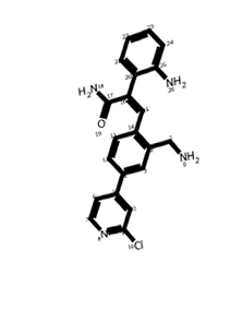 NCc1cc(-c2ccnc(Cl)c2)ccc1C=C(C(N)=O)c1ccccc1N